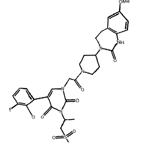 COc1ccc2c(c1)CCN(C1CCN(C(=O)Cn3cc(-c4cccc(F)c4Cl)c(=O)n(C(C)CS(C)(=O)=O)c3=O)CC1)C(=O)N2